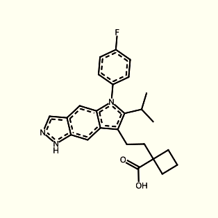 CC(C)c1c(CCC2(C(=O)O)CCC2)c2cc3[nH]ncc3cc2n1-c1ccc(F)cc1